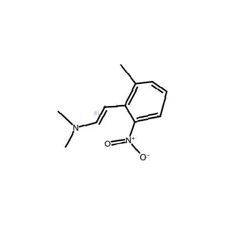 Cc1cccc([N+](=O)[O-])c1/C=C/N(C)C